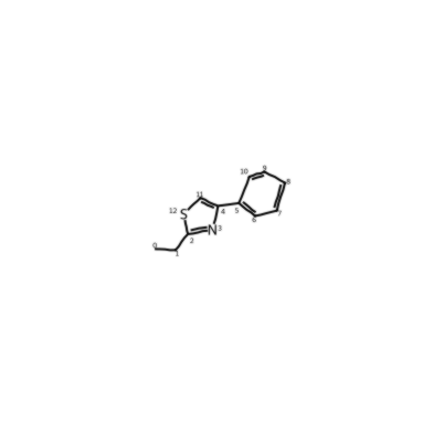 CCc1nc(-c2ccccc2)cs1